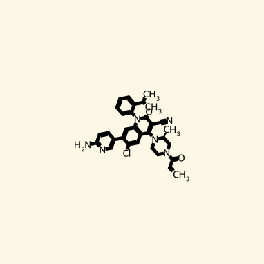 C=CC(=O)N1CCN(c2c(C#N)c(=O)n(-c3ccccc3C(C)C)c3cc(-c4ccc(N)nc4)c(Cl)cc23)[C@@H](C)C1